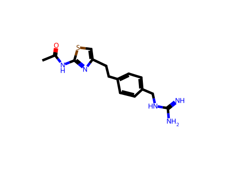 CC(=O)Nc1nc(CCc2ccc(CNC(=N)N)cc2)cs1